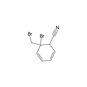 N#CC1C=CC=CC1(Br)CBr